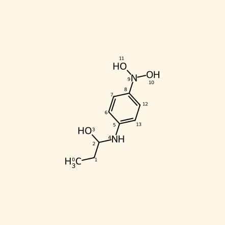 CCC(O)Nc1ccc(N(O)O)cc1